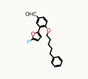 O=Cc1ccc(OCCCCCc2ccccc2)c(-c2ccc(F)o2)c1